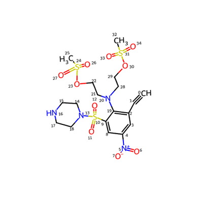 C#Cc1cc([N+](=O)[O-])cc(S(=O)(=O)N2CCNCC2)c1N(CCOS(C)(=O)=O)CCOS(C)(=O)=O